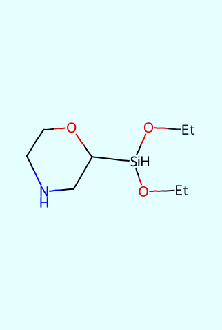 CCO[SiH](OCC)C1CNCCO1